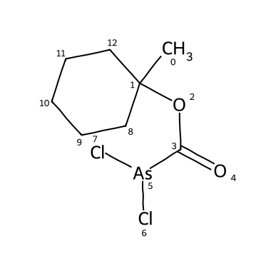 CC1(OC(=O)[As](Cl)Cl)CCCCC1